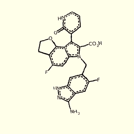 Nc1n[nH]c2cc(Cn3c(C(=O)O)c(-c4ccc[nH]c4=O)c4c5c(c(F)cc43)CCO5)c(F)cc12